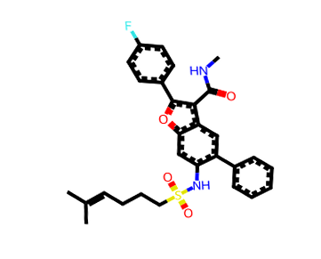 CNC(=O)c1c(-c2ccc(F)cc2)oc2cc(NS(=O)(=O)CCCC=C(C)C)c(-c3ccccc3)cc12